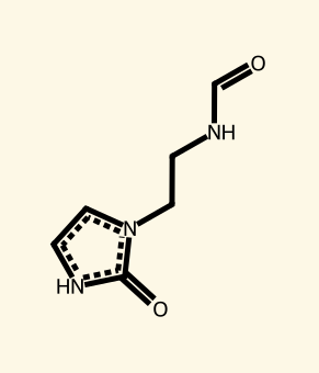 O=CNCCn1cc[nH]c1=O